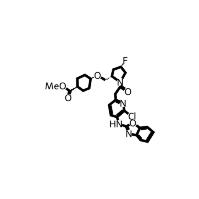 COC(=O)[C@H]1CC[C@H](OC[C@@H]2C[C@H](F)CN2C(=O)Cc2ccc(Nc3nc4ccccc4o3)c(Cl)n2)CC1